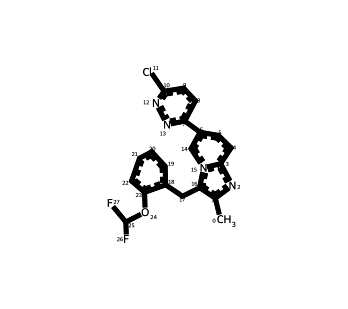 Cc1nc2ccc(-c3ccc(Cl)nn3)cn2c1Cc1ccccc1OC(F)F